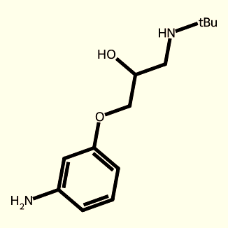 CC(C)(C)NCC(O)COc1cccc(N)c1